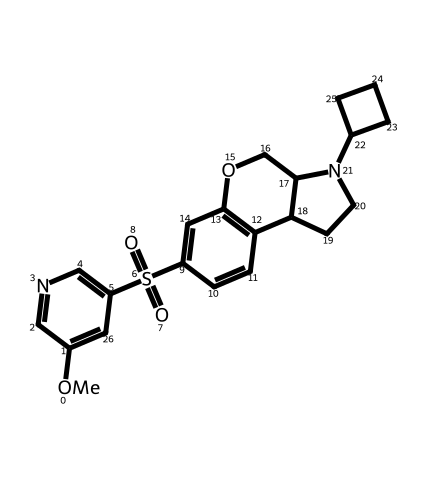 COc1cncc(S(=O)(=O)c2ccc3c(c2)OCC2C3CCN2C2CCC2)c1